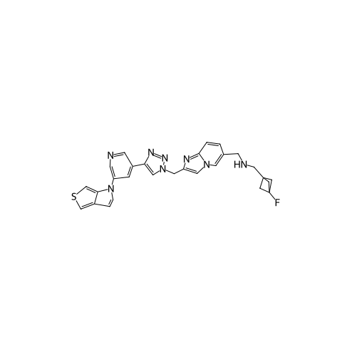 FC12CC(CNCc3ccc4nc(Cn5cc(-c6cncc(-n7ccc8cscc87)c6)nn5)cn4c3)(C1)C2